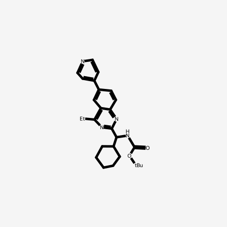 CCc1nc(C(NC(=O)OC(C)(C)C)C2CCCCC2)nc2ccc(-c3ccncc3)cc12